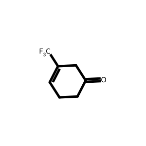 O=C1CCC=C(C(F)(F)F)C1